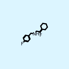 FC(CNCc1ccc(F)cc1)=C1CCCCC1